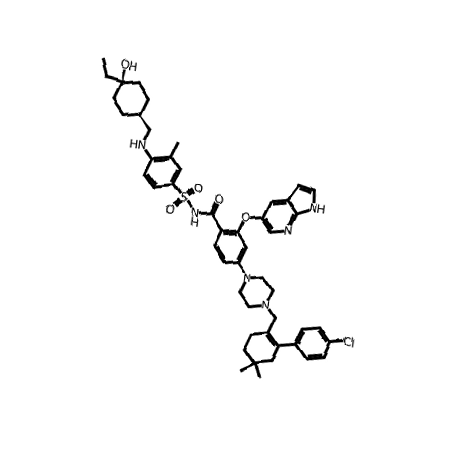 CC[C@]1(O)CC[C@@H](CNc2ccc(S(=O)(=O)NC(=O)c3ccc(N4CCN(CC5=C(c6ccc(Cl)cc6)CC(C)(C)CC5)CC4)cc3Oc3cnc4[nH]ccc4c3)cc2C)CC1